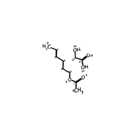 CCCCCCOC(C)=O.O=C(O)CO